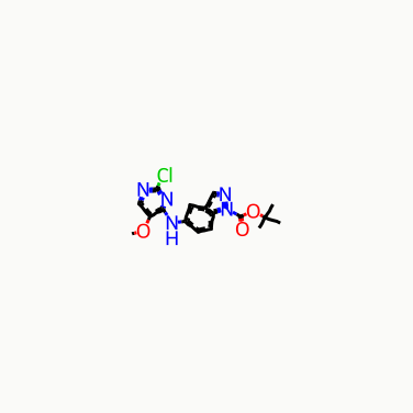 COc1cnc(Cl)nc1Nc1ccc2c(cnn2C(=O)OC(C)(C)C)c1